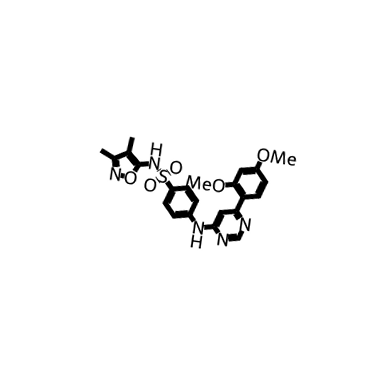 COc1ccc(-c2cc(Nc3ccc(S(=O)(=O)Nc4onc(C)c4C)cc3)ncn2)c(OC)c1